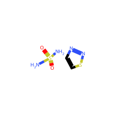 NS(N)(=O)=O.c1csnn1